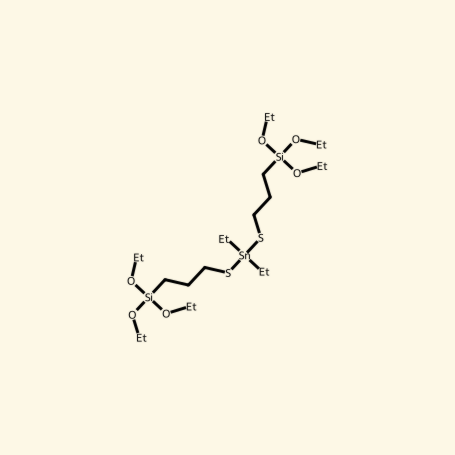 CCO[Si](CCC[S][Sn]([CH2]C)([CH2]C)[S]CCC[Si](OCC)(OCC)OCC)(OCC)OCC